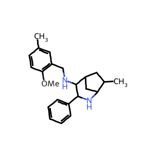 COc1ccc(C)cc1CNC1C2CC(C)C(C2)NC1c1ccccc1